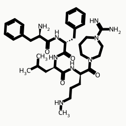 CNCCC[C@@H](NC(=O)[C@@H](CC(C)C)NC(=O)[C@@H](Cc1ccccc1)NC(=O)[C@H](N)Cc1ccccc1)C(=O)N1CCCN(C(=N)N)CC1